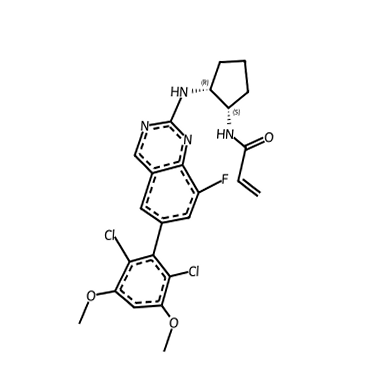 C=CC(=O)N[C@H]1CCC[C@H]1Nc1ncc2cc(-c3c(Cl)c(OC)cc(OC)c3Cl)cc(F)c2n1